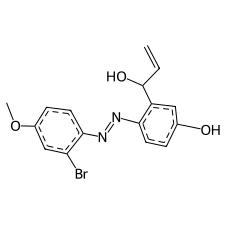 C=CC(O)c1cc(O)ccc1N=Nc1ccc(OC)cc1Br